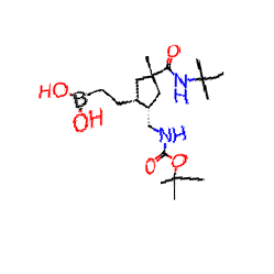 CC(C)(C)NC(=O)[C@@]1(C)C[C@H](CCB(O)O)[C@@H](CNC(=O)OC(C)(C)C)C1